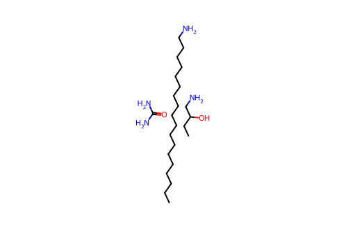 CCC(O)CN.CCCCCCCCCCCCCCCCCCN.NC(N)=O